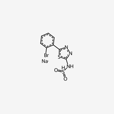 O=[SH](=O)Nc1nnc(-c2ccccc2Br)s1.[Na]